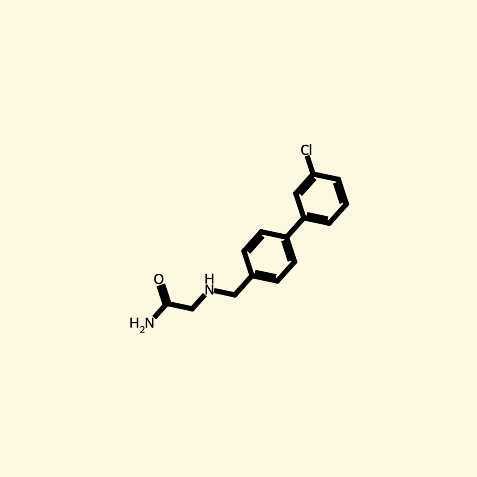 NC(=O)CNCc1ccc(-c2cccc(Cl)c2)cc1